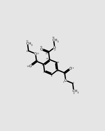 CCOC(=O)c1ccc(C(=O)OCC)c(C(=O)OC)c1